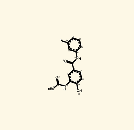 CCCCC(=O)Nc1cc(C(=O)Nc2cccc(C)c2)ccc1O